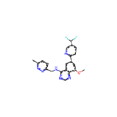 COc1cc(-c2ccc(C(F)F)cn2)cc2c(NCc3ccc(C)nn3)ncnc12